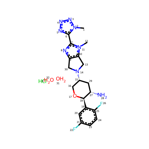 Cl.Cn1nnnc1-c1nc2c(n1C)CN([C@H]1CO[C@H](c3cc(F)ccc3F)[C@@H](N)C1)C2.O.O